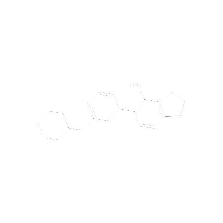 Nc1c(-c2ccnc(OC3CCCOC3)c2)ccc2c1CCC2